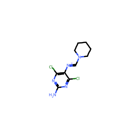 Nc1nc(Cl)c(/N=C/N2CCCCC2)c(Cl)n1